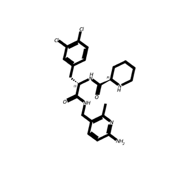 Cc1nc(N)ccc1CNC(=O)[C@H](Cc1ccc(Cl)c(Cl)c1)NC(=O)[C@H]1CCCCN1